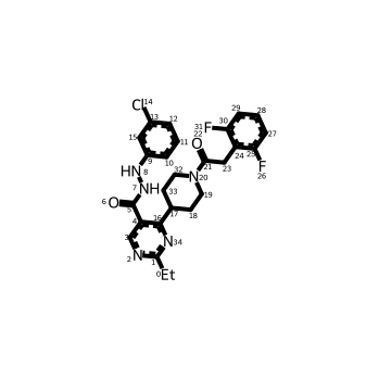 CCc1ncc(C(=O)NNc2cccc(Cl)c2)c(C2CCN(C(=O)Cc3c(F)cccc3F)CC2)n1